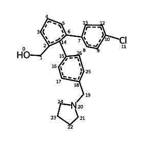 OCc1cccc(-c2ccc(Cl)cc2)c1-c1ccc(CN2CCCC2)cc1